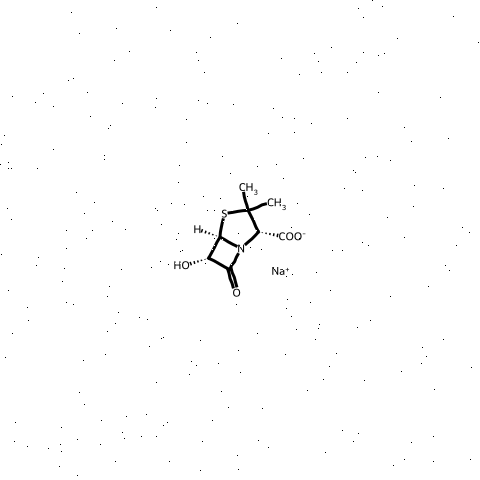 CC1(C)S[C@@H]2[C@@H](O)C(=O)N2[C@H]1C(=O)[O-].[Na+]